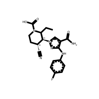 CCC1[C@@H](n2cc(C(N)=O)c(Nc3ccc(F)cc3)n2)[C@H](C#N)CCN1C(=O)O